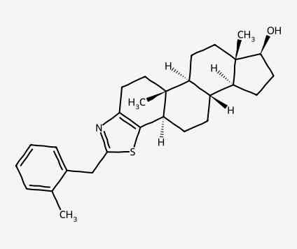 Cc1ccccc1Cc1nc2c(s1)[C@@H]1CC[C@@H]3[C@H](CC[C@]4(C)[C@@H](O)CC[C@@H]34)[C@@]1(C)CC2